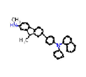 CNc1ccc2c(c1)C(C)c1cc(-c3ccc(N(c4ccccc4)c4cccc5ccccc45)cc3)ccc1-2